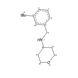 CC(C)(C)c1cccc(CNC2CCOCC2)c1